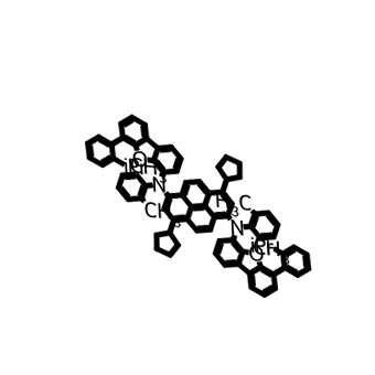 Cc1cccc(C)c1N(c1cc(C2CCCC2)c2ccc3c(N(c4c(C)cccc4C)c4cccc5c4oc4c(-c6ccccc6C(C)C)cccc45)cc(C4CCCC4)c4ccc1c2c43)c1cccc2c1oc1c(-c3ccccc3C(C)C)cccc12